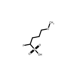 COCCCC(F)S(=O)(=O)O